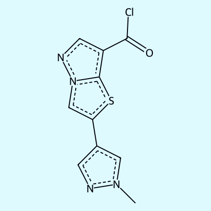 Cn1cc(-c2cn3ncc(C(=O)Cl)c3s2)cn1